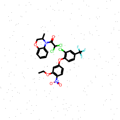 CC1COc2ccccc2N1C(=O)C(Cl)Cl.CCOc1cc(Oc2ccc(C(F)(F)F)cc2Cl)ccc1[N+](=O)[O-]